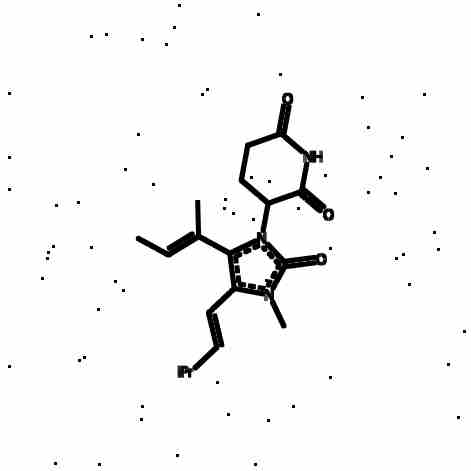 C/C=C(\C)c1c(/C=C/C(C)C)n(C)c(=O)n1C1CCC(=O)NC1=O